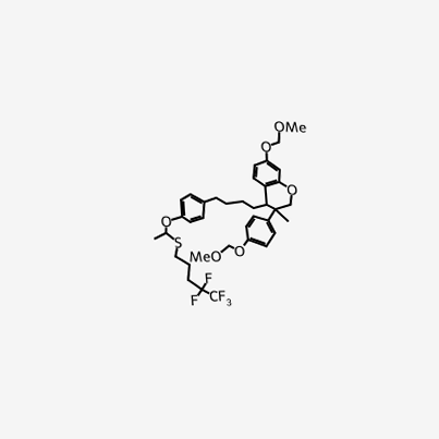 COCOc1ccc(C2(C)COc3cc(OCOC)ccc3C2CCCCc2ccc(OC(C)SCCCC(F)(F)C(F)(F)F)cc2)cc1